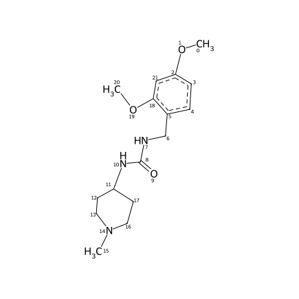 COc1ccc(CNC(=O)NC2CCN(C)CC2)c(OC)c1